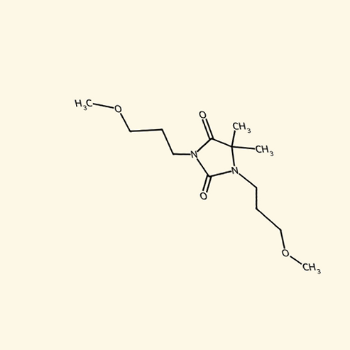 COCCCN1C(=O)N(CCCOC)C(C)(C)C1=O